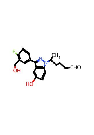 CC(CCCC=O)n1nc(-c2ccc(F)c(CO)c2)c2cc(O)ccc21